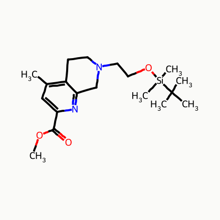 COC(=O)c1cc(C)c2c(n1)CN(CCO[Si](C)(C)C(C)(C)C)CC2